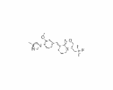 COc1cc(/C=C2\CCCN3C2=NOCC3CC(F)(F)F)ccc1-n1cnc(C)c1